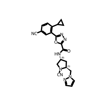 N#Cc1ccc(C2CC2)c(-c2nnc(C(=O)N[C@@H]3C[C@@H](Cn4cccn4)N(C#N)C3)o2)c1